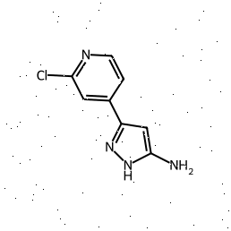 Nc1cc(-c2ccnc(Cl)c2)n[nH]1